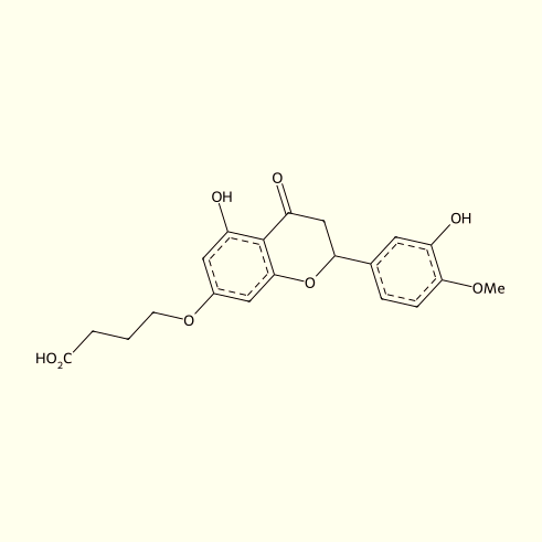 COc1ccc(C2CC(=O)c3c(O)cc(OCCCC(=O)O)cc3O2)cc1O